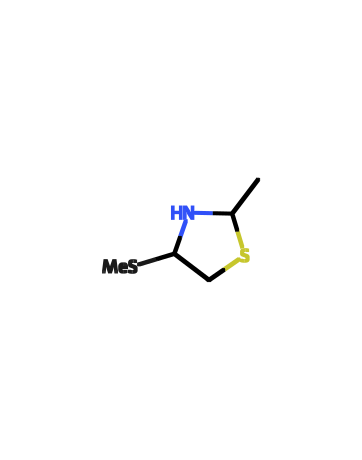 CSC1CSC(C)N1